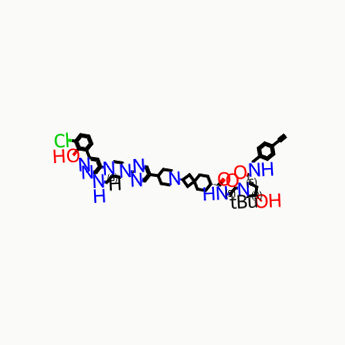 C#Cc1ccc(CNC(=O)[C@@H]2C[C@@H](O)CN2C(=O)[C@@H](NC(=O)[C@H]2CCC3(CC2)C[C@H](N2CCC(c4cnc(N5CCN6c7cc(-c8cccc(Cl)c8O)nnc7NC[C@H]6C5)nc4)CC2)C3)C(C)(C)C)cc1